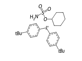 CC(C)(C)c1ccc([I+]c2ccc(C(C)(C)C)cc2)cc1.NS(=O)(=O)OC1CCCCC1